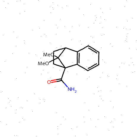 COC1(OC)C2CCC1(C(N)=O)c1ccc[c]c12